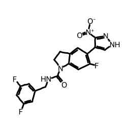 O=C(NCc1cc(F)cc(F)c1)N1CCc2cc(-c3c[nH]nc3[N+](=O)[O-])c(F)cc21